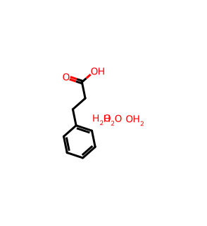 O.O.O.O=C(O)CCc1ccccc1